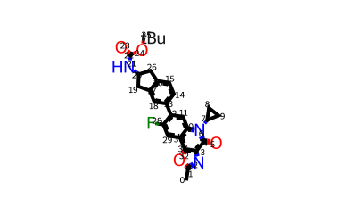 Cc1nc2c(=O)n(C3CC3)c3cc(-c4ccc5c(c4)CC(NC(=O)OC(C)(C)C)C5)c(F)cc3c2o1